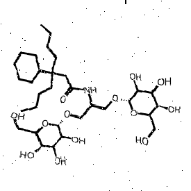 CCCCC(CCCC)(CC(=O)NC(CO[C@H]1OC(CO)[C@H](O)C(O)C1O)CO[C@H]1OC(CO)[C@H](O)C(O)C1O)C1CCCCC1